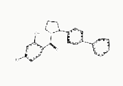 O=C(c1ccc(O)cc1O)N1CCCC1c1ccc(-c2ccccc2)cc1